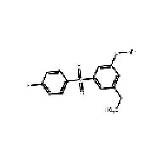 CCCOc1cc(CC(=O)O)cc(S(=O)(=O)c2ccc(F)cc2)c1